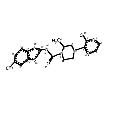 CC1CN(c2nccnc2Cl)CCN1C(=O)Nc1nc2ccc(Cl)cc2s1